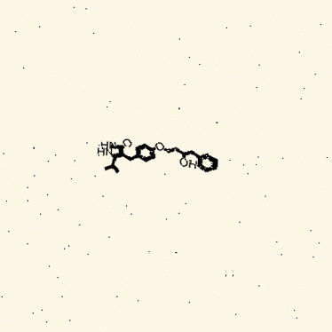 CC(C)c1[nH][nH]c(=O)c1Cc1ccc(OCCC(O)Cc2ccccc2)cc1